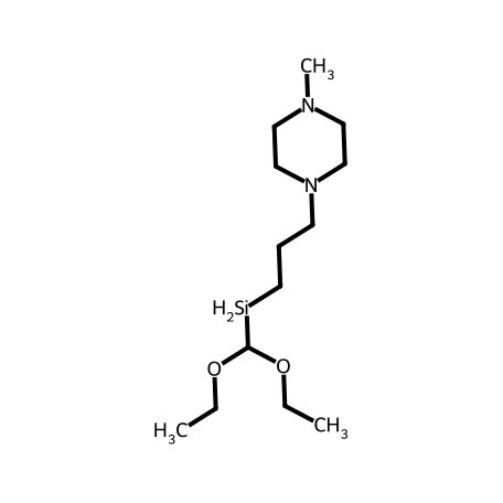 CCOC(OCC)[SiH2]CCCN1CCN(C)CC1